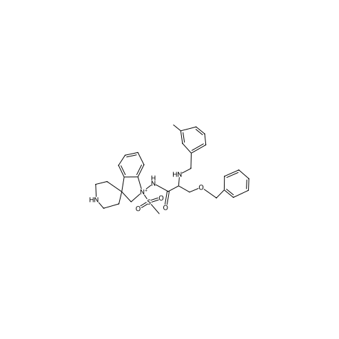 Cc1cccc(CNC(COCc2ccccc2)C(=O)N[N+]2(S(C)(=O)=O)CC3(CCNCC3)c3ccccc32)c1